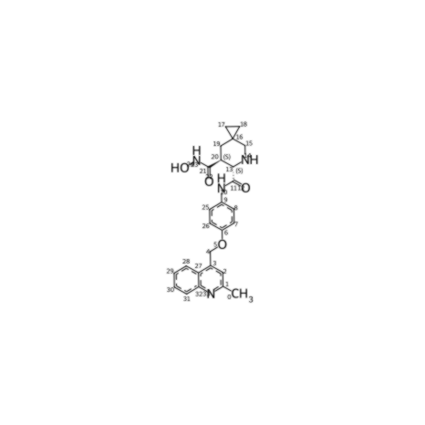 Cc1cc(COc2ccc(NC(=O)[C@H]3NCC4(CC4)C[C@@H]3C(=O)NO)cc2)c2ccccc2n1